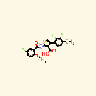 COc1ccc(F)cc1C(=O)Nc1scc(-c2ccc(C)c(F)c2F)c1C(=O)O